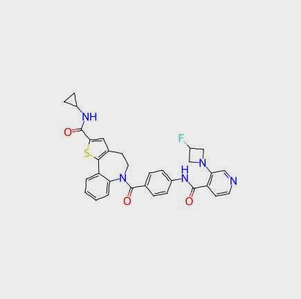 O=C(NC1CC1)c1cc2c(s1)-c1ccccc1N(C(=O)c1ccc(NC(=O)c3ccncc3N3CC(F)C3)cc1)CC2